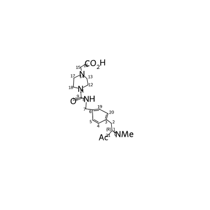 CN[C@H](Cc1ccc(CNC(=O)N2CCN(CC(=O)O)CC2)cc1)C(C)=O